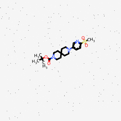 CC(C)(C)OC(=O)N1CCC2(CC1)CCN(c1ccc(S(C)(=O)=O)nc1)CC2